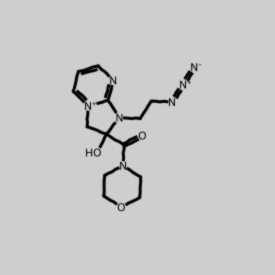 [N-]=[N+]=NCCN1c2nccc[n+]2CC1(O)C(=O)N1CCOCC1